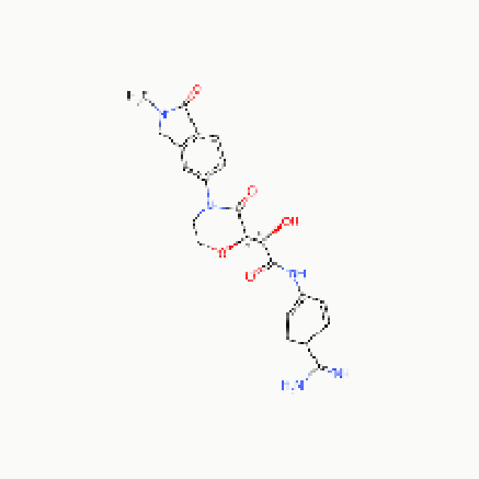 CN1Cc2cc(N3CCO[C@H]([C@@H](O)C(=O)NC4=CCC(C(=N)N)C=C4)C3=O)ccc2C1=O